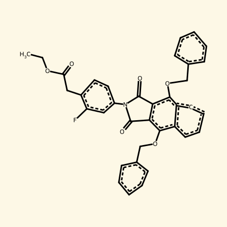 CCOC(=O)Cc1ccc(N2C(=O)c3c(c(OCc4ccccc4)c4ccccc4c3OCc3ccccc3)C2=O)cc1F